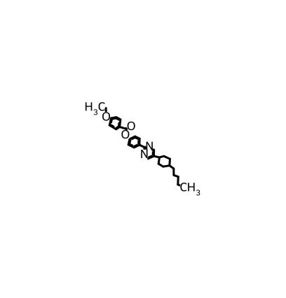 CCCCCC1CCC(c2cnc(-c3ccc(OC(=O)c4ccc(OCC)cc4)cc3)nc2)CC1